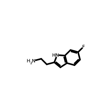 NCCc1cc2ccc(F)cc2[nH]1